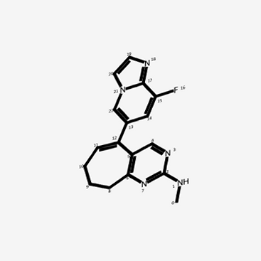 CNc1ncc2c(n1)CCCC=C2c1cc(F)c2nccn2c1